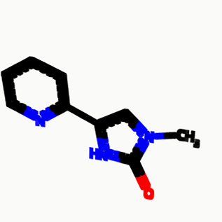 Cn1cc(-c2ccccn2)[nH]c1=O